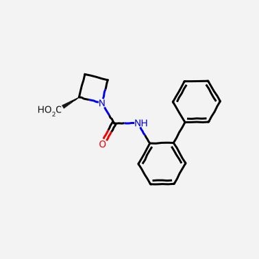 O=C(O)[C@H]1CCN1C(=O)Nc1ccccc1-c1ccccc1